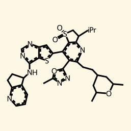 Cc1nnc(-c2c(CCC3CC(C)OC(C)C3)nc3c(c2-c2cc4ncnc(NC5CCc6ncccc65)c4s2)S(=O)(=O)CC3C(C)C)o1